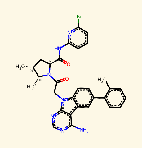 Cc1ccccc1-c1ccc2c(c1)c1c(N)ncnc1n2CC(=O)N1[C@H](C)[C@H](C)C[C@H]1C(=O)Nc1cccc(Br)n1